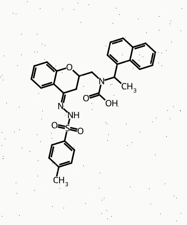 Cc1ccc(S(=O)(=O)NN=C2CC(CN(C(=O)O)C(C)c3cccc4ccccc34)Oc3ccccc32)cc1